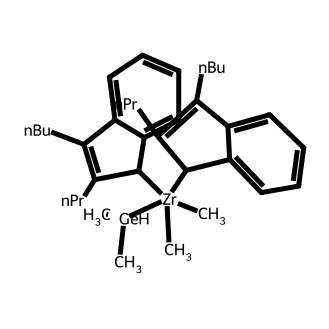 CCCCC1=C(CCC)[CH]([Zr]([CH3])([CH3])([CH]2C(CCC)=C(CCCC)c3ccccc32)[GeH]([CH3])[CH3])c2ccccc21